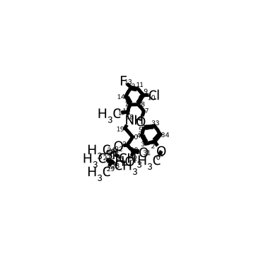 COc1ccc(OCc2c(Cl)cc(F)cc2C(C)NCCC(O[Si](C)(C)C(C)(C)C)C(=O)O)cc1